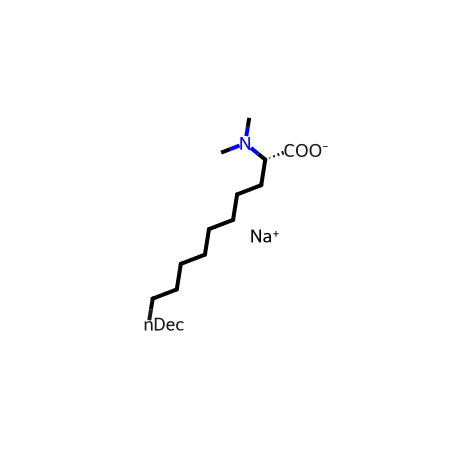 CCCCCCCCCCCCCCCCCC[C@@H](C(=O)[O-])N(C)C.[Na+]